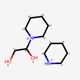 C1CCNCC1.OCC(O)N1CCCCC1